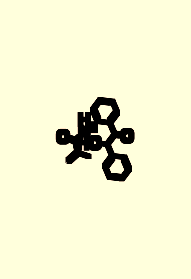 C=C(C)C(N)=O.O=C(c1ccccc1)C(O)c1ccccc1